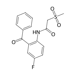 CS(=O)(=O)CC(=O)Nc1ccc(F)cc1C(=O)c1ccccc1